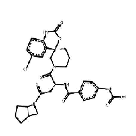 O=C(O)Nc1ccc(C(=O)N[C@@H](CC(=O)N2CC3CCCC32)C(=O)N2CCC[C@@]3(C2)OC(=O)Nc2ccc(Cl)cc23)cc1